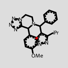 COc1ccc(C2c3nnnn3CCN2C(c2ccccc2)c2c[nH]nc2C(C)C)cc1